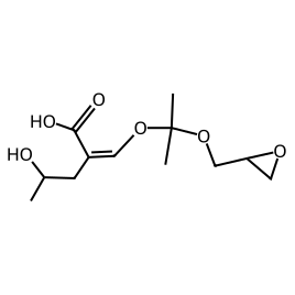 CC(O)CC(=COC(C)(C)OCC1CO1)C(=O)O